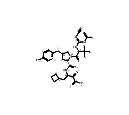 C=C(C)N/C(=N\C#N)N[C@H](C(=O)N1C[C@H](Oc2ccc(Cl)cn2)C[C@H]1C(=O)NC(CC1CCC1)C(=O)C(N)=O)C(C)(C)C